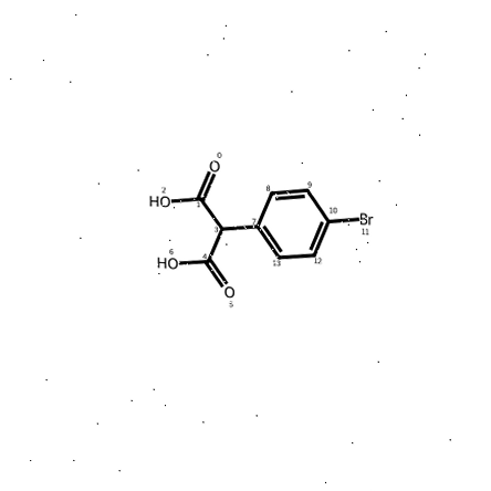 O=C(O)C(C(=O)O)c1ccc(Br)cc1